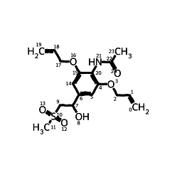 C=CCOc1cc(C(O)CS(C)(=O)=O)cc(OCC=C)c1NC(C)=O